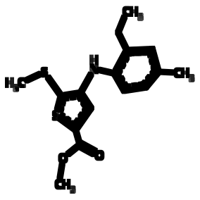 CCc1cc(C)ccc1Nc1cc(C(=O)OC)sc1SC